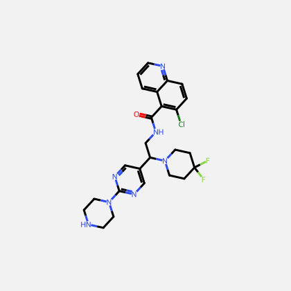 O=C(NCC(c1cnc(N2CCNCC2)nc1)N1CCC(F)(F)CC1)c1c(Cl)ccc2ncccc12